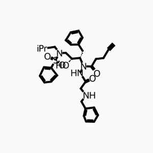 C#CCCC(=O)N(NC(=O)CNCc1ccccc1)[C@@H](Cc1ccccc1)[C@H](O)CN(CC(C)C)S(=O)(=O)c1ccccc1